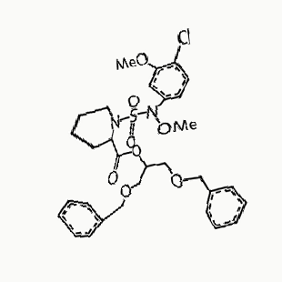 COc1cc(N(OC)S(=O)(=O)N2CCCCC2C(=O)OC(COCc2ccccc2)COCc2ccccc2)ccc1Cl